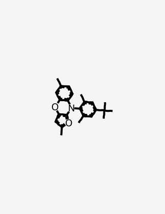 Cc1ccc2c(c1)Oc1cc(C)oc1N2c1c(C)cc(C(C)(C)C)cc1C